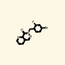 O=c1c2ncccc2[c]nn1Cc1ccc(Br)cc1F